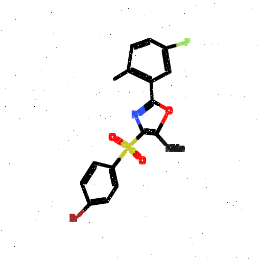 CNc1oc(-c2cc(F)ccc2C)nc1S(=O)(=O)c1ccc(Br)cc1